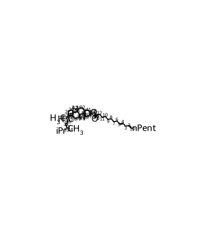 CCCCCC=CCC=CCCCCCCCC(=O)OC1CC[C@@]2(C)C(CC[C@H]3[C@@H]4CC[C@H]([C@H](C)CC[C@H](C)C(C)C)[C@@]4(C)CC[C@@H]32)C1